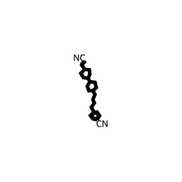 N#CC=CC1CCC(C2CCC(CCCCc3ccc(C#N)cc3)CC2)CC1